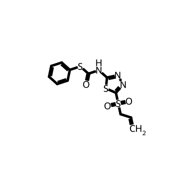 C=CCS(=O)(=O)c1nnc(NC(=O)Sc2ccccc2)s1